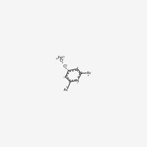 CC(=O)c1cccc(C(C)=O)n1.[Cl-].[Cl-].[Fe+2]